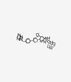 Clc1cc2[nH]c(OC3CO[C@@H]4CCO[C@H]34)nc2nc1-c1ccc(-c2ccc(Cn3ncnn3)cc2)cc1